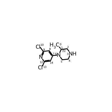 C[C@H]1CNCCN1c1cc(Cl)nc(Cl)c1